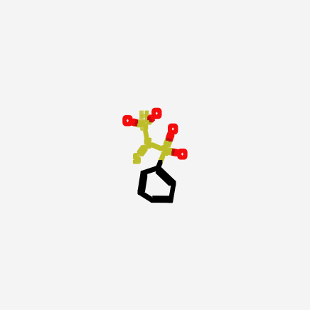 O=[SH](=O)S(=S)S(=O)(=O)c1ccccc1